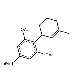 CCCCCc1cc(OC(C)=O)c(C2C=C(C)CCC2)c(OC(C)=O)c1